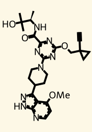 C#CC1(COc2nc(C(=O)N[C@H](C)C(C)(C)O)nc(N3CCC(c4n[nH]c5nccc(OC)c45)CC3)n2)CC1